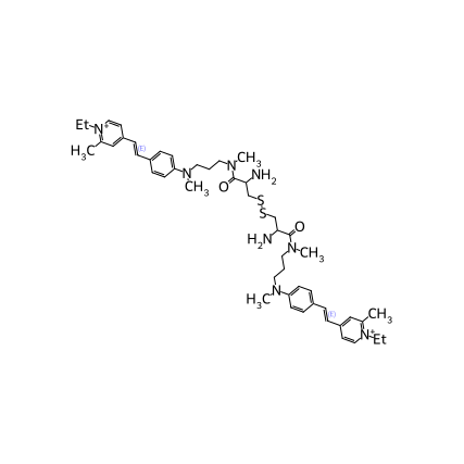 CC[n+]1ccc(/C=C/c2ccc(N(C)CCCN(C)C(=O)C(N)CSSCC(N)C(=O)N(C)CCCN(C)c3ccc(/C=C/c4cc[n+](CC)c(C)c4)cc3)cc2)cc1C